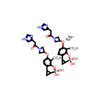 O=C(O)c1c(OC2CN(C(=O)Cc3c[nH]cn3)C2)ccc2c1O[B-](O)(O)C1CC21.O=C(O)c1c(OC2CN(C(=O)Cc3c[nH]cn3)C2)ccc2c1O[B-](O)(O)C1CC21.[Na+].[Na+]